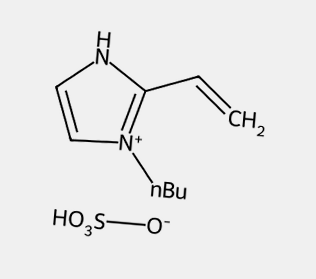 C=Cc1[nH]cc[n+]1CCCC.O=S(=O)([O-])O